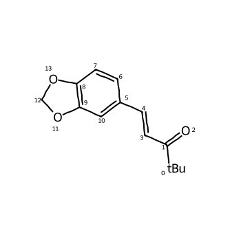 CC(C)(C)C(=O)C=Cc1ccc2c(c1)OCO2